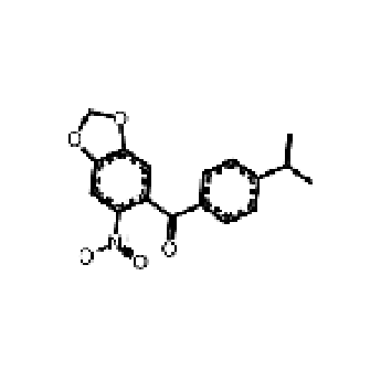 CC(C)c1ccc(C(=O)c2cc3c(cc2[N+](=O)[O-])OCO3)cc1